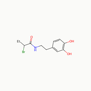 CCC(Br)C(=O)NCCc1ccc(O)c(O)c1